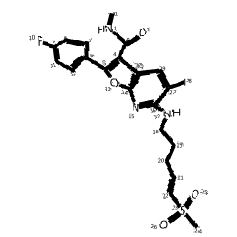 CNC(=O)c1c(-c2ccc(F)cc2)oc2nc(NCCCC=CS(C)(=O)=O)c(I)cc12